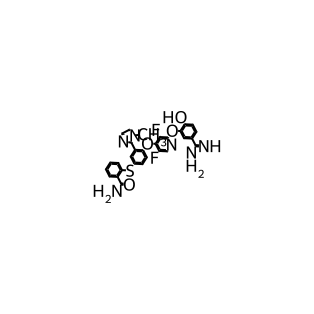 CN1CC=NC1c1cc(Sc2ccccc2C(N)=O)ccc1Oc1c(F)cnc(Oc2cc(C(=N)N)ccc2O)c1F